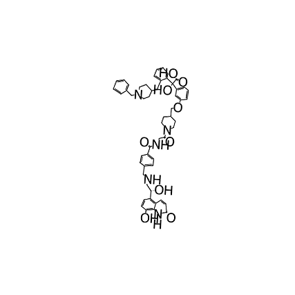 O=C(NCC(=O)N1CCC(COc2cccc([C@@](O)(C(=O)O)c3ccccc3CC3CCN(Cc4ccccc4)CC3)c2)CC1)c1ccc(CNC[C@H](O)c2ccc(O)c3[nH]c(=O)ccc23)cc1